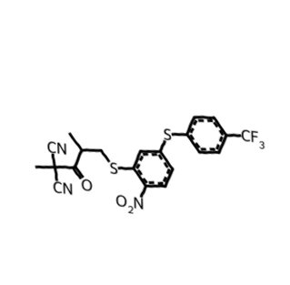 CC(CSc1cc(Sc2ccc(C(F)(F)F)cc2)ccc1[N+](=O)[O-])C(=O)C(C)(C#N)C#N